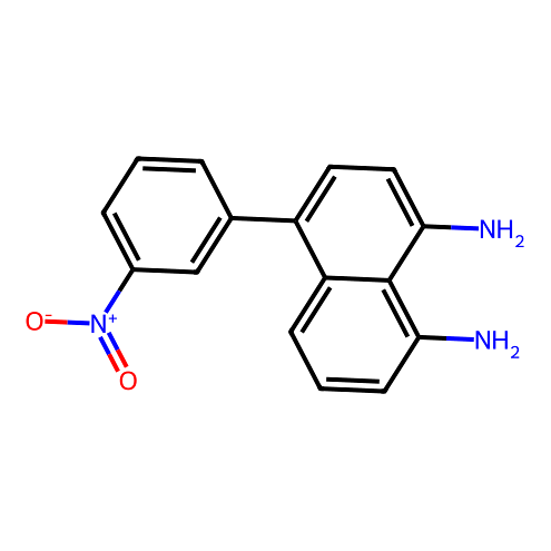 Nc1cccc2c(-c3cccc([N+](=O)[O-])c3)ccc(N)c12